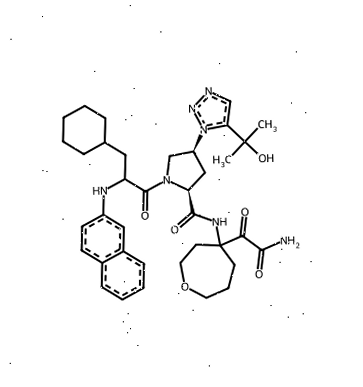 CC(C)(O)c1cnnn1[C@H]1C[C@@H](C(=O)NC2(C(=O)C(N)=O)CCCOCC2)N(C(=O)C(CC2CCCCC2)Nc2ccc3ccccc3c2)C1